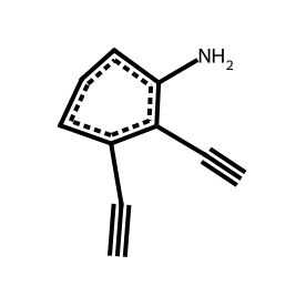 C#Cc1cccc(N)c1C#C